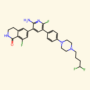 Nc1nc(F)c(-c2ccc(N3CCN(CCCC(F)F)CC3)cc2)cc1-c1cc(F)c2c(c1)CCNC2=O